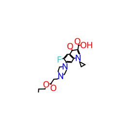 CCCOC(=O)CCN1CCN(c2cc3c(cc2F)c(=O)c(C(=O)O)cn3C2CC2)CC1